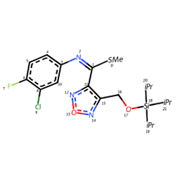 CSC(=Nc1ccc(F)c(Cl)c1)c1nonc1CO[Si](C(C)C)(C(C)C)C(C)C